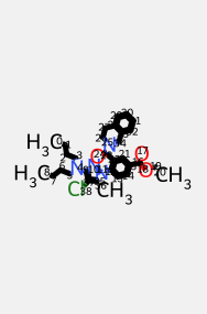 CCCCN(CCCC)c1nn(-c2ccc(C(=O)OCC)cc2C(=O)N2CCc3ccccc3C2)c(C)c1Cl